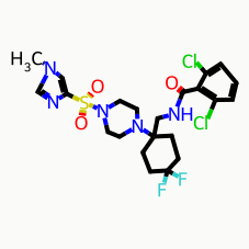 Cn1cnc(S(=O)(=O)N2CCN(C3(CNC(=O)c4c(Cl)cccc4Cl)CCC(F)(F)CC3)CC2)c1